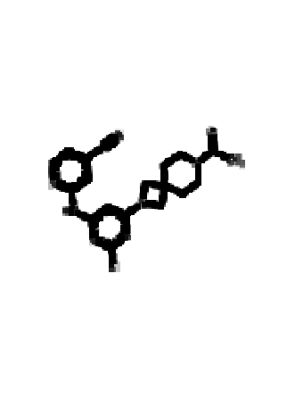 CC(=O)N1CCC2(CC1)CN(c1cc(Nc3cc(C#N)ccn3)nc(Cl)n1)C2